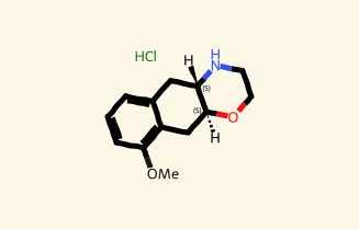 COc1cccc2c1C[C@@H]1OCCN[C@H]1C2.Cl